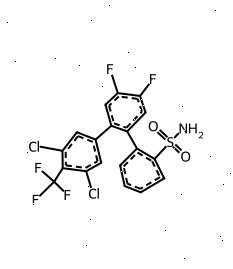 NS(=O)(=O)c1ccccc1-c1cc(F)c(F)cc1-c1cc(Cl)c(C(F)(F)F)c(Cl)c1